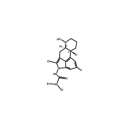 CCCN1CCC[C@@H]2c3cc(C)cc4c3c(c(Cl)n4NC(=O)N(CC)CC)C[C@H]21